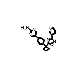 Nc1ncc(-c2ccc(C3(c4nc(-c5cccnc5)no4)CCC3)cc2)cn1